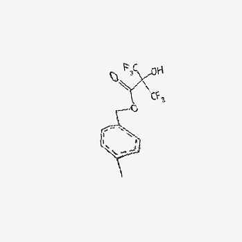 O=C(OCc1ccc(I)cc1)C(O)(C(F)(F)F)C(F)(F)F